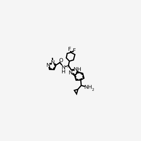 Cn1nccc1C(=O)N[C@H](c1nc2cc(C(N)C3CC3)ccc2[nH]1)C1CCC(F)(F)CC1